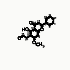 COc1cc2oc(-c3ccccc3)cc(=O)c2c(O)c1CC=O